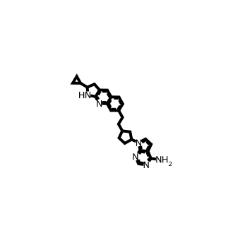 Nc1ncnc2c1ccn2C1CCC(CCc2ccc3cc4c(nc3c2)NC(C2CC2)C4)C1